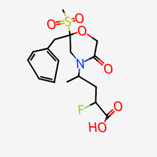 CC(CC(F)C(=O)O)N1CC(Cc2ccccc2)(S(C)(=O)=O)OCC1=O